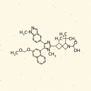 COCOc1cc(-c2c(-c3ccc4c(cnn4C)c3)nc(C3CC4(C3)CN(C(=O)O)C4C(C)(C)C)n2C)c2ccccc2c1